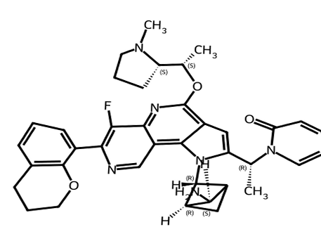 C[C@H](Oc1nc2c(F)c(-c3cccc4c3OCCC4)ncc2c2c1cc([C@@H](C)n1ccccc1=O)n2[C@@H]1C2C[C@@H]1[C@H]2N)[C@@H]1CCCN1C